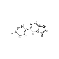 CC1C=NC(c2ccc3scnc3c2)=CC1